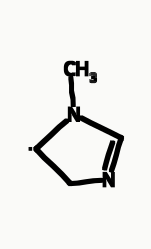 CN1[CH]CN=C1